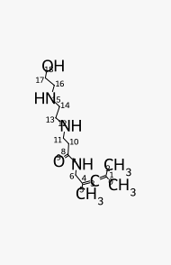 CC(C)=C=C(C)CNC(=O)CCNCCNCCO